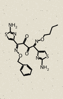 CCCCON=C(C(=O)C(=O)C(=NOCc1ccccc1)c1csc(N)n1)c1csc(N)n1